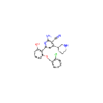 N#Cc1c(C2CCCNC2)cc(-c2c(O)cccc2OCc2ccccc2Cl)nc1N